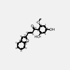 COc1cc(O)cc(O)c1C(=O)/C=C/c1cc2ccccc2o1